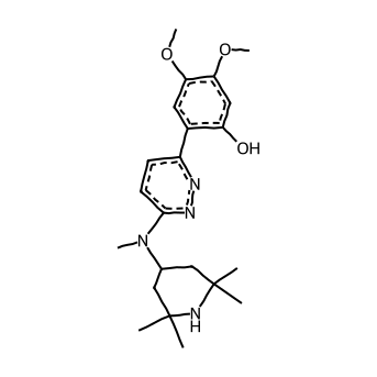 COc1cc(O)c(-c2ccc(N(C)C3CC(C)(C)NC(C)(C)C3)nn2)cc1OC